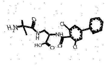 CC(C)(N)C(=O)NCC(NC(=O)c1c(Cl)cc(-c2ccccc2)cc1Cl)C(=O)O